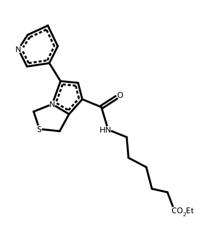 CCOC(=O)CCCCCNC(=O)c1cc(-c2cccnc2)n2c1CSC2